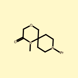 CC(C)N1CCC2(CC1)COCC(=O)N2C